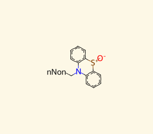 CCCCCCCCCCN1c2ccccc2[S+]([O-])c2ccccc21